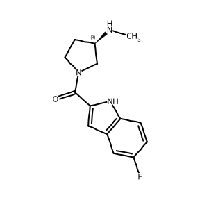 CN[C@@H]1CCN(C(=O)c2cc3cc(F)ccc3[nH]2)C1